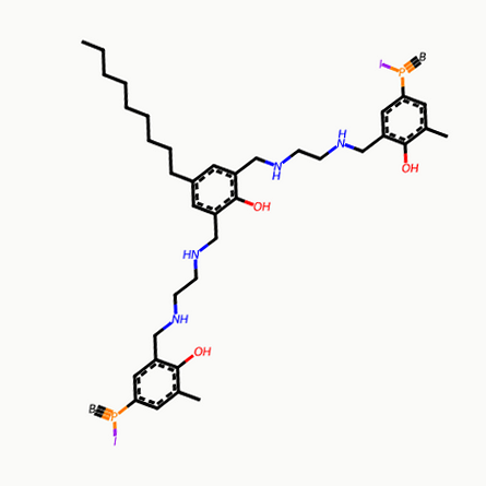 B#P(I)c1cc(C)c(O)c(CNCCNCc2cc(CCCCCCCCC)cc(CNCCNCc3cc(P(#B)I)cc(C)c3O)c2O)c1